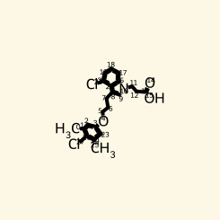 Cc1cc(OCCCc2cn(CCC(=O)O)c3cccc(Cl)c23)cc(C)c1Cl